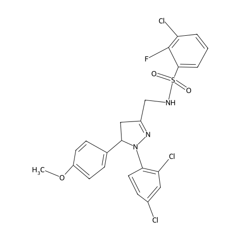 COc1ccc(C2CC(CNS(=O)(=O)c3cccc(Cl)c3F)=NN2c2ccc(Cl)cc2Cl)cc1